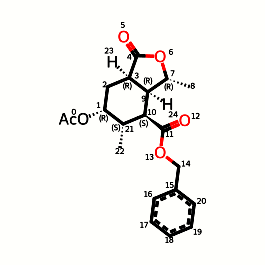 CC(=O)O[C@@H]1C[C@H]2C(=O)O[C@H](C)[C@H]2[C@@H](C(=O)OCc2ccccc2)[C@@H]1C